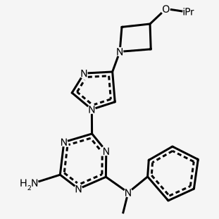 CC(C)OC1CN(c2cn(-c3nc(N)nc(N(C)c4ccccc4)n3)cn2)C1